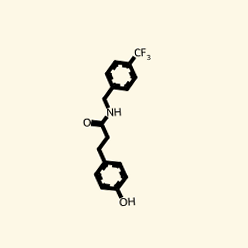 O=C(CCc1ccc(O)cc1)NCc1ccc(C(F)(F)F)cc1